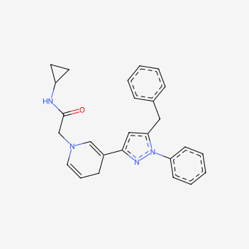 O=C(CN1C=CCC(c2cc(Cc3ccccc3)n(-c3ccccc3)n2)=C1)NC1CC1